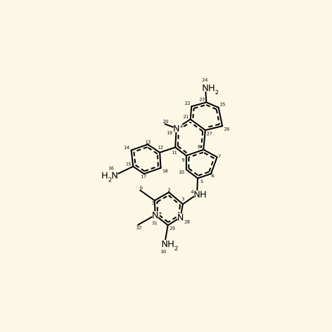 Cc1cc(Nc2ccc3c(c2)c(-c2ccc(N)cc2)[n+](C)c2cc(N)ccc32)nc(N)[n+]1C